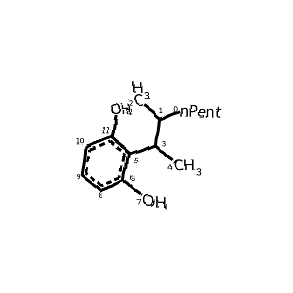 CCCCCC(C)C(C)c1c(O)cccc1O